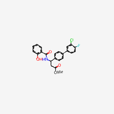 COC(=O)CC(NC(=O)c1ccccc1O)c1ccc(-c2ccc(F)c(Cl)c2)cc1